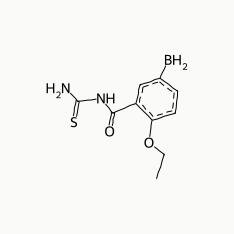 Bc1ccc(OCC)c(C(=O)NC(N)=S)c1